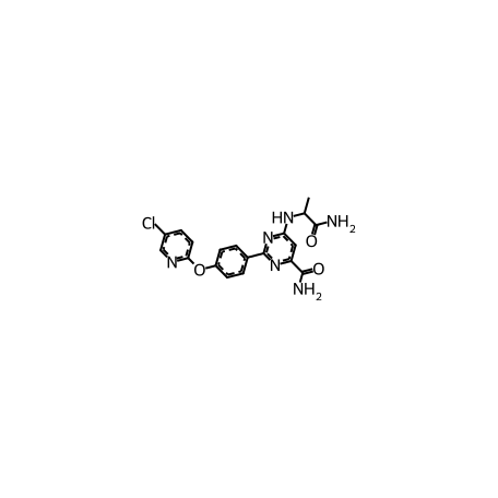 CC(Nc1cc(C(N)=O)nc(-c2ccc(Oc3ccc(Cl)cn3)cc2)n1)C(N)=O